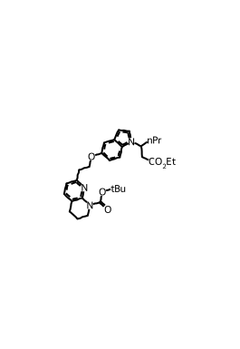 CCCC(CC(=O)OCC)n1ccc2cc(OCCc3ccc4c(n3)N(C(=O)OC(C)(C)C)CCC4)ccc21